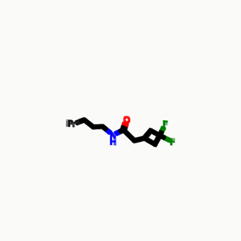 CC(C)CCCNC(=O)CC1CC(F)(F)C1